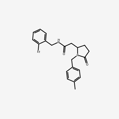 CCc1ccccc1CNC(=O)CC1CCC(=O)N1Cc1ccc(C)cc1